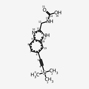 C[Si](C)(C)C#Cc1ccc2nc(CNC(=O)O)[nH]c2c1